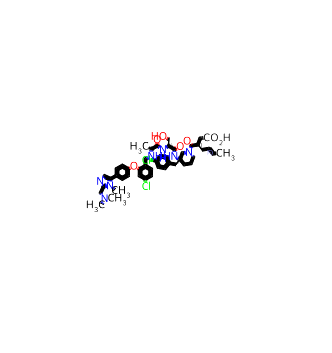 C/C=C/C[C@H](CC(=O)O)C(=O)N1CCC[C@](Cc2ccc(Cl)cc2)(NC(=O)[C@H](CO)NC(=O)[C@H](C)NCc2ccc(Cl)cc2Oc2ccc(-c3cnc(CN(C)C)n3C)cc2)C1